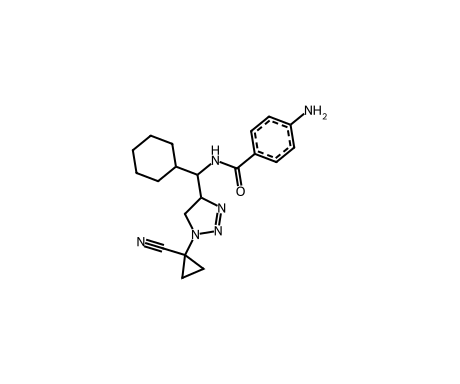 N#CC1(N2CC(C(NC(=O)c3ccc(N)cc3)C3CCCCC3)N=N2)CC1